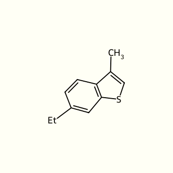 CCc1ccc2c(C)csc2c1